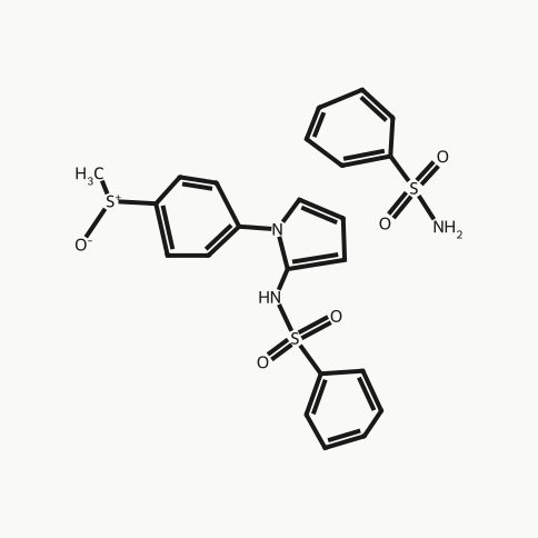 C[S+]([O-])c1ccc(-n2cccc2NS(=O)(=O)c2ccccc2)cc1.NS(=O)(=O)c1ccccc1